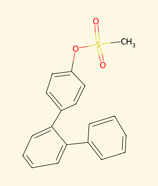 CS(=O)(=O)Oc1ccc(-c2ccccc2-c2ccccc2)cc1